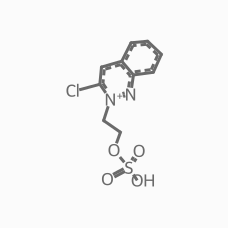 O=S(=O)(O)OCC[n+]1nc2ccccc2cc1Cl